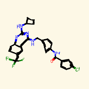 O=C(Nc1ccc(CNc2nc(NC3CCC3)nc3ccc(C(F)(F)F)cc23)cc1)c1ccc(Cl)cc1